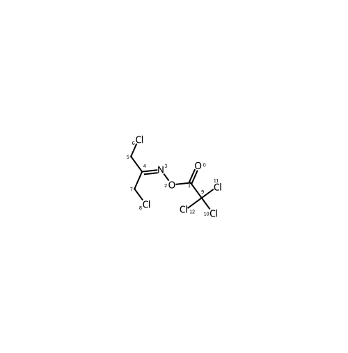 O=C(ON=C(CCl)CCl)C(Cl)(Cl)Cl